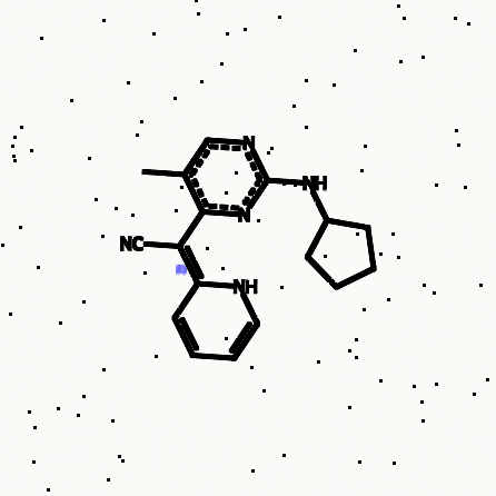 Cc1cnc(NC2CCCC2)nc1/C(C#N)=C1/C=CC=CN1